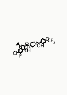 O=C(NC1CCN(CC(O)c2ccc(OC(F)(F)F)cc2)CC1)c1cn(C2CC2)c2cc(Cl)c(F)cc2c1=O